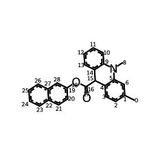 Cc1ccc2c(c1)N(C)c1ccccc1C2C(=O)Oc1ccc2ccccc2c1